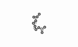 c1ccc(-c2ccc3c(c2)c2ccccc2n3-c2ccc3oc4c(-c5ccc6c(c5)oc5cccc(-c7cccc(-c8nc(-c9ccccc9)nc(-c9ccccc9)n8)c7)c56)cccc4c3c2)cc1